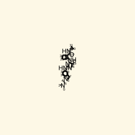 CN(C)CCn1ccc2cc(Nc3ncc(F)c(NC4C5C=CC(C5)C4C(=O)NC4CC4)n3)ccc21